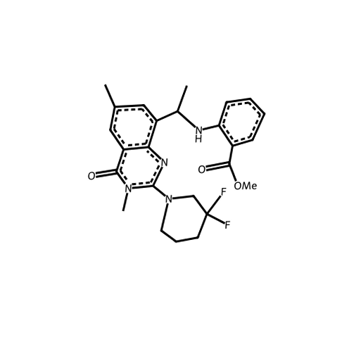 COC(=O)c1ccccc1NC(C)c1cc(C)cc2c(=O)n(C)c(N3CCCC(F)(F)C3)nc12